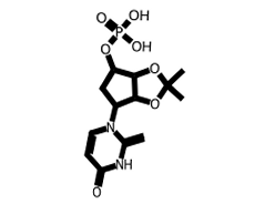 C=C1NC(=O)C=CN1C1CC(OP(=O)(O)O)C2OC(C)(C)OC21